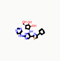 OC[C@H]1C[C@@H](Nc2nc(Nc3cncnc3)ncc2-c2nc(-c3ccccc3)cs2)[C@H](O)[C@@H]1O